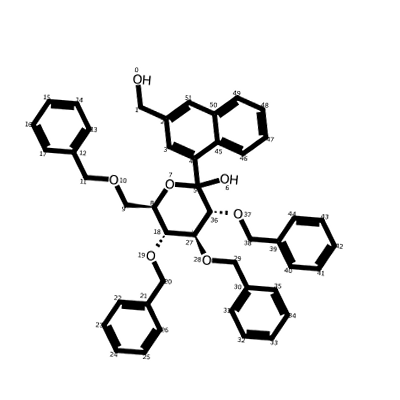 OCc1cc(C2(O)O[C@H](COCc3ccccc3)[C@@H](OCc3ccccc3)[C@H](OCc3ccccc3)[C@H]2OCc2ccccc2)c2ccccc2c1